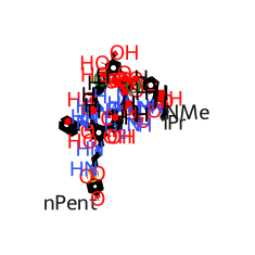 CCCCCOc1ccc(S(=O)(=O)NCCCNCC2[C@H](O)C3C4C[C@H](CC[C@H]4O)[C@H]4NC(=O)[C@@H]5NC(=O)[C@H](CC(N)=O)NC(=O)[C@H](NC(=O)[C@@H](CC(C)C)NC)[C@H](O)[C@H]6CC[C@@H](Oc7cc5cc(c7O[C@@H]5C[C@H](CO)[C@@H](O)[C@H](O)[C@H]5O[C@H]5C[C@](C)(N)[C@H](O)[C@H](C)O5)O[C@@H]5CC[C@@H](C[C@@H]5Cl)[C@@H](O)[C@H](NC4=O)C(=O)N[C@H](C(=O)NC4C5CC7CC(C5)CC4C7)C3C[C@@H]2O)[C@H](Cl)C6)cc1